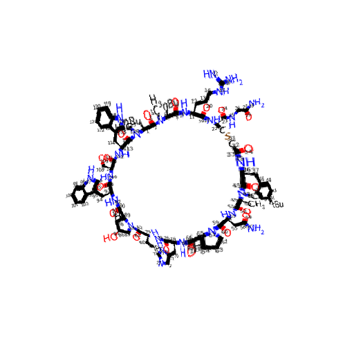 CCCC[C@H]1C(=O)N(C)[C@@H](CCCC)C(=O)N[C@@H](CCCNC(=N)N)C(=O)N[C@H](C(=O)NCC(N)=O)CSCC(=O)N[C@@H](Cc2ccc(C(C)(C)C)cc2)C(=O)N(C)[C@@H](C)C(=O)N[C@@H](CC(N)=O)C(=O)N2CCC[C@H]2C(=O)N[C@@H](Cc2cnc[nH]2)C(=O)N[C@@H](CC(C)C)C(=O)N2C[C@H](O)C[C@H]2C(=O)N[C@@H](Cc2c[nH]c3ccccc23)C(=O)N[C@@H](CO)C(=O)N[C@@H](Cc2c[nH]c3ccccc23)C(=O)N1C